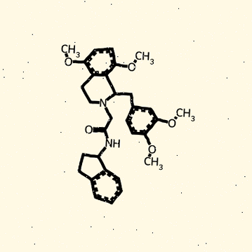 COc1ccc(CC2c3c(OC)ccc(OC)c3CCN2CC(=O)NC2CCc3ccccc32)cc1OC